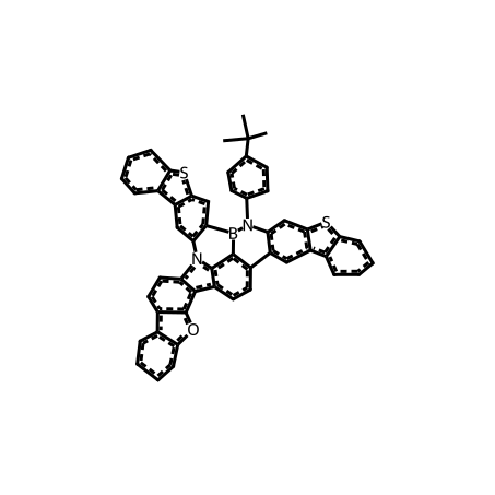 CC(C)(C)c1ccc(N2B3c4cc5sc6ccccc6c5cc4-n4c5ccc6c7ccccc7oc6c5c5ccc(c3c54)-c3cc4c(cc32)sc2ccccc24)cc1